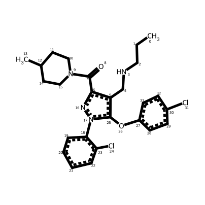 CCCNCc1c(C(=O)N2CCC(C)CC2)nn(-c2ccccc2Cl)c1Oc1ccc(Cl)cc1